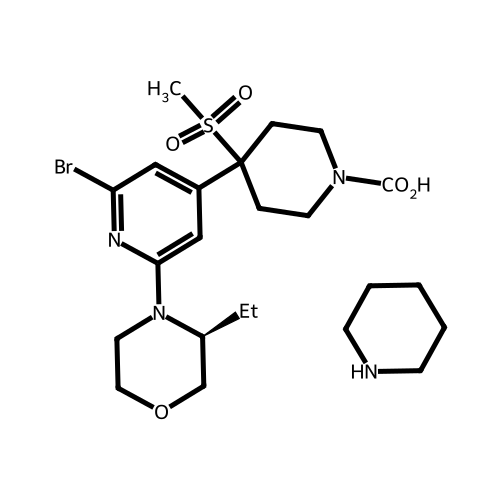 C1CCNCC1.CC[C@H]1COCCN1c1cc(C2(S(C)(=O)=O)CCN(C(=O)O)CC2)cc(Br)n1